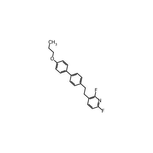 CCCOc1ccc(-c2ccc(CCc3ccc(F)nc3F)cc2)cc1